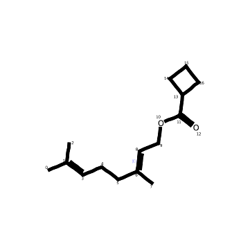 CC(C)=CCC/C(C)=C/COC(=O)C1CCC1